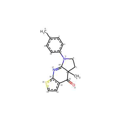 Cc1ccc(N2CCC3(C)C(=O)c4ccsc4N=C23)cc1